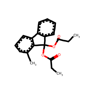 CCC(=O)OC1(OC(=O)CC)c2ccccc2-c2cccc(C)c21